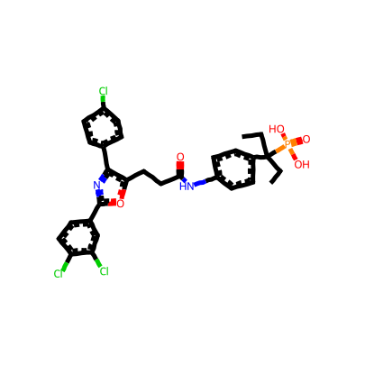 CCC(CC)(c1ccc(NC(=O)CCc2oc(-c3ccc(Cl)c(Cl)c3)nc2-c2ccc(Cl)cc2)cc1)P(=O)(O)O